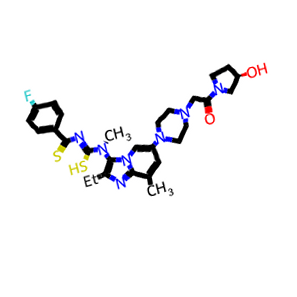 CCc1nc2c(C)cc(N3CCN(CC(=O)N4CC[C@@H](O)C4)CC3)cn2c1N(C)/C(S)=N/C(=S)c1ccc(F)cc1